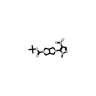 Cn1ncc([N+](=O)[O-])c1N1CC2CN(C(=O)OC(C)(C)C)CC2C1